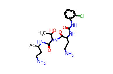 CC(=O)C(CCN)NC(=O)C(NC(=O)C(CCN)NC(=O)Nc1ccccc1Cl)C(C)O